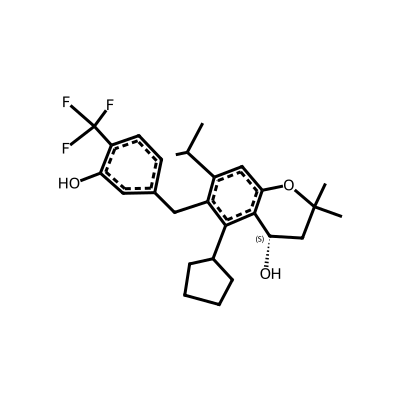 CC(C)c1cc2c(c(C3CCCC3)c1Cc1ccc(C(F)(F)F)c(O)c1)[C@@H](O)CC(C)(C)O2